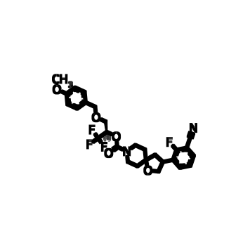 COc1ccc(COC[C@@H](OC(=O)N2CCC3(CC2)CC(c2cccc(C#N)c2F)CO3)C(F)(F)F)cc1